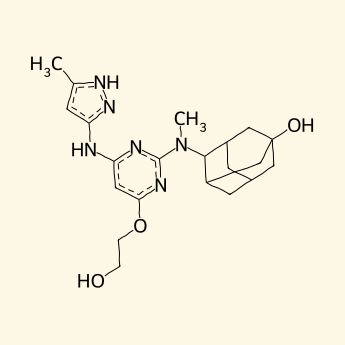 Cc1cc(Nc2cc(OCCO)nc(N(C)C3C4CC5CC3CC(O)(C5)C4)n2)n[nH]1